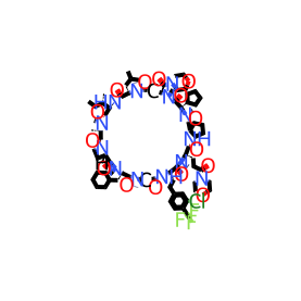 CC[C@H](C)[C@@H]1NC(=O)[C@H](CC(C)C)N(C)C(=O)C[C@@H](C(=O)N2CCOCC2)N(C)C(=O)[C@H](C2CCCC2)N(C)C(=O)C2(CCCC2)NC(=O)[C@H](CCC(=O)N2CCOCC2)N(C)C(=O)[C@H](CCc2ccc(C(F)(F)F)c(Cl)c2)NC(=O)CN(C)C(=O)[C@H](CC2CCCCC2)N(C)C(=O)[C@@H]2CCN2C(=O)[C@H](C)N(C)C1=O